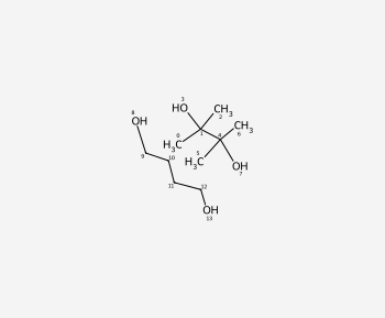 CC(C)(O)C(C)(C)O.OCCCCO